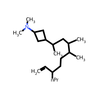 C=CC(CCC)CCC(C)C(C)CC(C)C1CC(N(C)C)C1